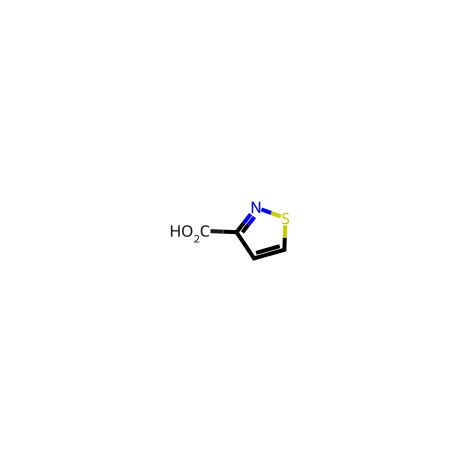 O=C(O)c1ccsn1